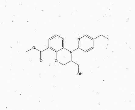 CCc1ccc(N2c3cccc(C(=O)OC)c3OCC2CO)nc1